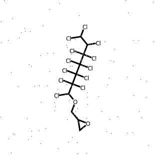 ClC(Cl)C(Cl)C(Cl)(Cl)C(Cl)(Cl)C(Cl)(Cl)C(Cl)(Cl)C(Cl)OCC1CO1